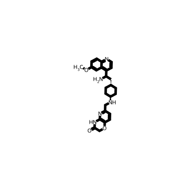 COc1ccc2nccc(C(N)C[C@H]3CC[C@H](NCc4ccc5c(n4)NC(=O)CO5)CC3)c2c1